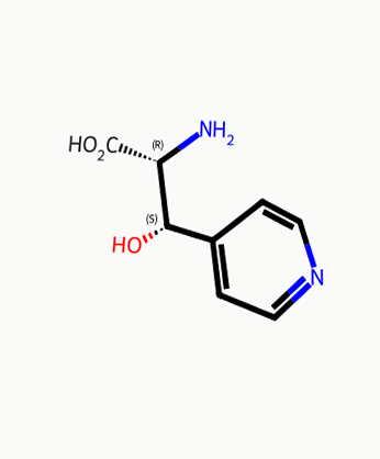 N[C@@H](C(=O)O)[C@@H](O)c1ccncc1